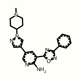 CN1CCC(n2cc(-c3cnc(N)c(-c4nc(-c5ccccc5)no4)c3)cn2)CC1